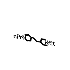 CCCN1CCC(CCC2CCN(CC)CC2)CC1